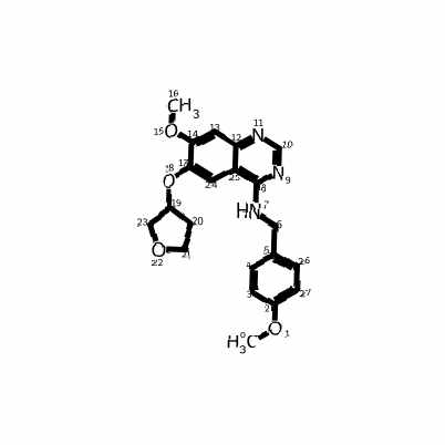 COc1ccc(CNc2ncnc3cc(OC)c(OC4CCOC4)cc23)cc1